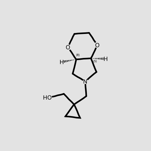 OCC1(CN2C[C@@H]3OCCO[C@@H]3C2)CC1